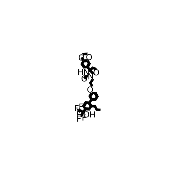 CCCc1cc(C(O)(C(F)(F)F)C(F)(F)F)ccc1-c1cccc(OCCCN2C(=O)NC(CC)(c3ccc4c(c3)OCCO4)C2=O)c1